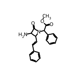 COC(=O)C(c1ccccc1)N1C(=O)C(N)C1/C=C/c1ccccc1